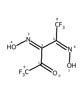 O=C(C(=NO)C(=NO)C(F)(F)F)C(F)(F)F